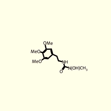 COc1cc(CCNC(=O)N(C)O)cc(OC)c1OC